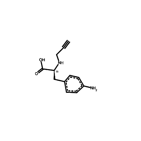 C#CCN[C@@H](Cc1ccc(N)cc1)C(=O)O